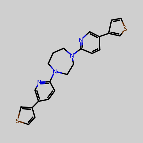 c1cc(-c2ccc(N3CCCN(c4ccc(-c5ccsc5)cn4)CC3)nc2)cs1